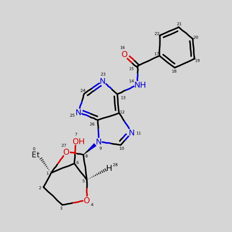 CC[C@@]12CCO[C@@H](C1O)[C@H](n1cnc3c(NC(=O)c4ccccc4)ncnc31)O2